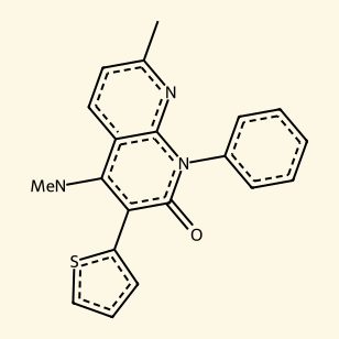 CNc1c(-c2cccs2)c(=O)n(-c2ccccc2)c2nc(C)ccc12